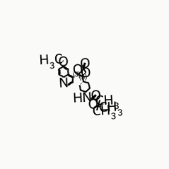 COc1ccc2nccc([C@@H]3OC(=O)O[C@H]3[C@H]3CC[C@H](NC(=O)OC(C)(C)C)CC3)c2c1